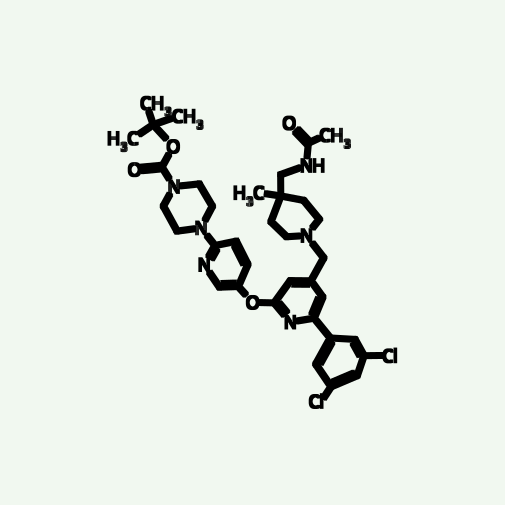 CC(=O)NCC1(C)CCN(Cc2cc(Oc3ccc(N4CCN(C(=O)OC(C)(C)C)CC4)nc3)nc(-c3cc(Cl)cc(Cl)c3)c2)CC1